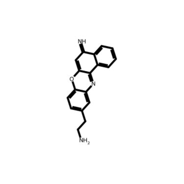 N=c1cc2oc3ccc(CCN)cc3nc-2c2ccccc12